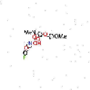 CNC(=O)c1ccc(OCc2ccc(OC)cc2)cc1OC[C@H](O)CN1CCC2(CC1)Cc1cc(F)ccc1O2